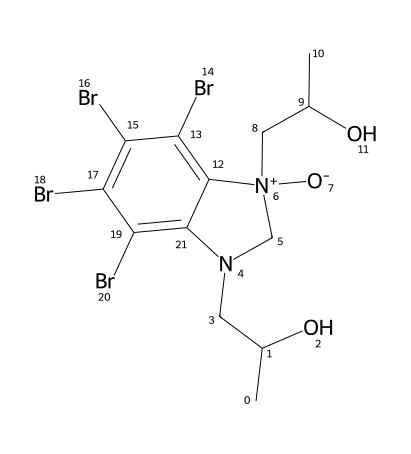 CC(O)CN1C[N+]([O-])(CC(C)O)c2c(Br)c(Br)c(Br)c(Br)c21